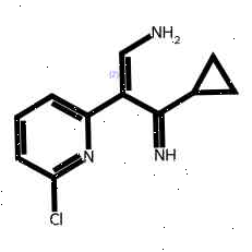 N=C(/C(=C\N)c1cccc(Cl)n1)C1CC1